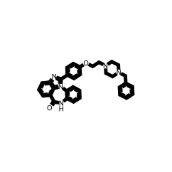 O=C1Nc2ccccc2-n2c(-c3ccc(OCCN4CCN(Cc5ccccc5)CC4)cc3)nc3cccc1c32